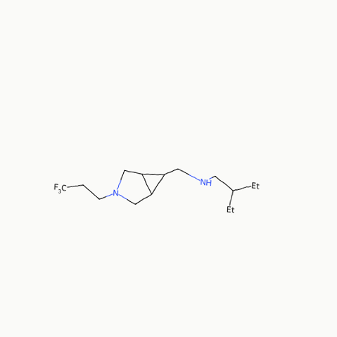 CCC(CC)CNCC1C2CN(CCC(F)(F)F)CC12